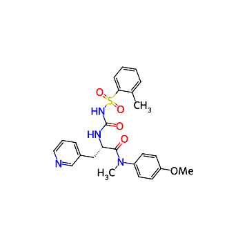 COc1ccc(N(C)C(=O)[C@H](Cc2cccnc2)NC(=O)NS(=O)(=O)c2ccccc2C)cc1